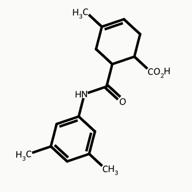 CC1=CCC(C(=O)O)C(C(=O)Nc2cc(C)cc(C)c2)C1